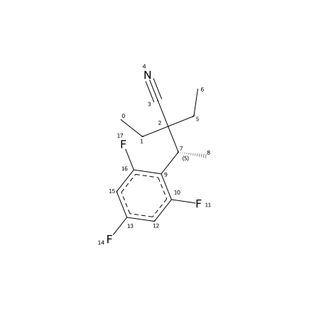 CCC(C#N)(CC)[C@H](C)c1c(F)cc(F)cc1F